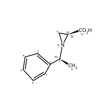 C[C@@H](c1ccccc1)N1C[C@H]1C(=O)O